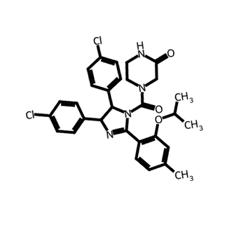 Cc1ccc(C2=NC(c3ccc(Cl)cc3)C(c3ccc(Cl)cc3)N2C(=O)N2CCNC(=O)C2)c(OC(C)C)c1